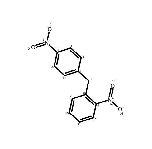 O=[N+]([O-])c1ccc(Cc2ccc[c]c2[N+](=O)[O-])cc1